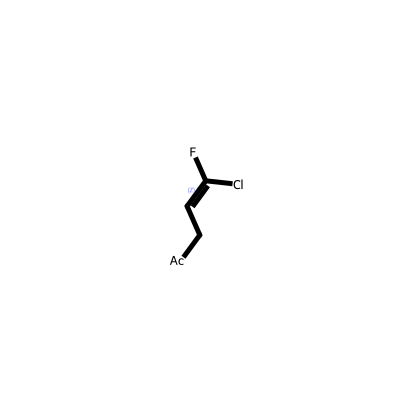 CC(=O)C/C=C(/F)Cl